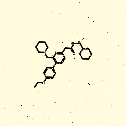 CCOc1ccc(-c2ccc(CC(=O)N[C@H](C)C3CCCCC3)nc2CN2CCCCC2)cc1